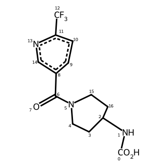 O=C(O)NC1CCN(C(=O)c2ccc(C(F)(F)F)nc2)CC1